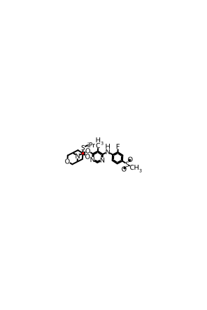 Cc1c(Nc2ccc(S(C)(=O)=O)cc2F)ncnc1OC1CC2COCC(C1)N2C(=O)SC(C)C